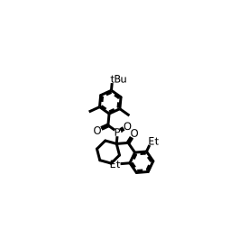 CCc1cccc(CC)c1C(=O)C1([P](=O)C(=O)c2c(C)cc(C(C)(C)C)cc2C)CCCCC1